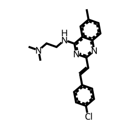 Cc1ccc2nc(/C=C/c3ccc(Cl)cc3)nc(NCCN(C)C)c2c1